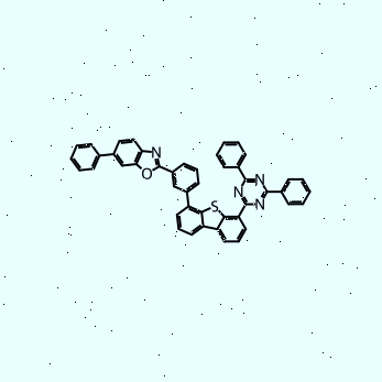 c1ccc(-c2ccc3nc(-c4cccc(-c5cccc6c5sc5c(-c7nc(-c8ccccc8)nc(-c8ccccc8)n7)cccc56)c4)oc3c2)cc1